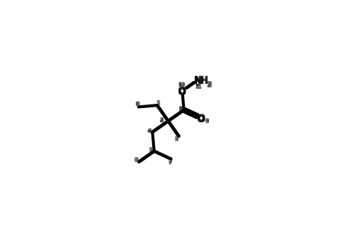 CCC(C)(CC(C)C)C(=O)ON